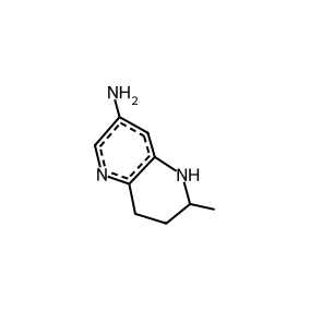 CC1CCc2ncc(N)cc2N1